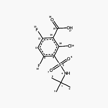 CC(C)(C)NS(=O)(=O)c1c(F)cc(F)c(C(=O)O)c1Cl